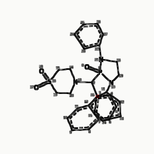 O=P1(C(c2cccc3ccccc23)N2CCS(=O)(=O)CC2)N(c2ccccc2)CCN1c1ccccc1